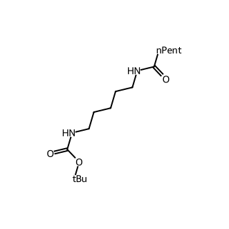 [CH2]CCCCC(=O)NCCCCCNC(=O)OC(C)(C)C